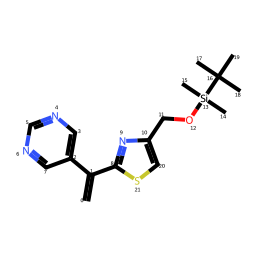 C=C(c1cncnc1)c1nc(CO[Si](C)(C)C(C)(C)C)cs1